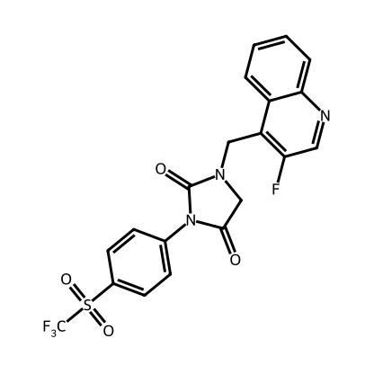 O=C1CN(Cc2c(F)cnc3ccccc23)C(=O)N1c1ccc(S(=O)(=O)C(F)(F)F)cc1